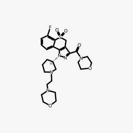 O=C(c1nn([C@H]2CCCN(CCN3CCOCC3)C2)c2c1CS(=O)(=O)c1c(F)cccc1-2)N1CCOCC1